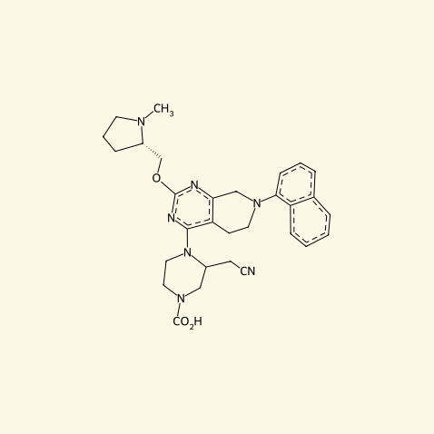 CN1CCC[C@H]1COc1nc2c(c(N3CCN(C(=O)O)CC3CC#N)n1)CCN(c1cccc3ccccc13)C2